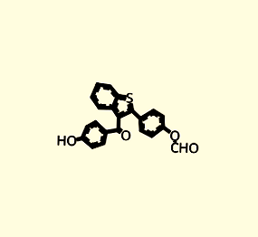 O=COc1ccc(-c2sc3ccccc3c2C(=O)c2ccc(O)cc2)cc1